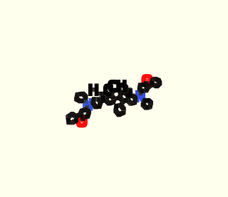 CC1(C)c2cc(-c3ccc(N(c4ccccc4)c4ccc5oc6ccccc6c5c4)cc3)ccc2-c2c(-c3ccccc3)c3ccc(N(c4ccccc4)c4ccc5oc6ccccc6c5c4)cc3c3cccc1c23